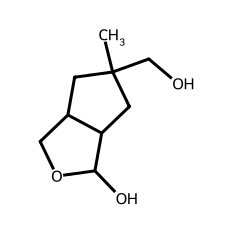 CC1(CO)CC2COC(O)C2C1